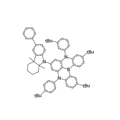 CC(C)(C)c1ccc(N2c3ccc(C(C)(C)C)cc3B3c4ccc(C(C)(C)C)cc4N(c4cccc(C(C)(C)C)c4)c4cc(N5c6ccc(-c7ccccc7)cc6C6(C)CCCCC56C)cc2c43)cc1